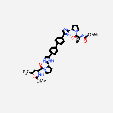 COC(=O)N[C@@H](CCC(F)(F)F)C(=O)N1CCC[C@H]1c1ncc(-c2ccc(-c3ccc(-c4cnc([C@@H]5CCCN5C(=O)[C@@H](NC(=O)OC)C(C)C)[nH]4)cc3)cc2)[nH]1